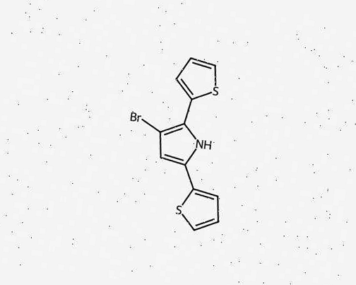 Brc1cc(-c2cccs2)[nH]c1-c1cccs1